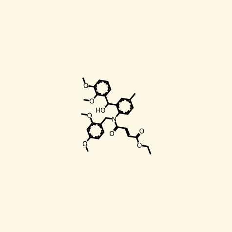 CCOC(=O)/C=C/C(=O)N(Cc1ccc(OC)cc1OC)c1ccc(C)cc1C(O)c1cccc(OC)c1OC